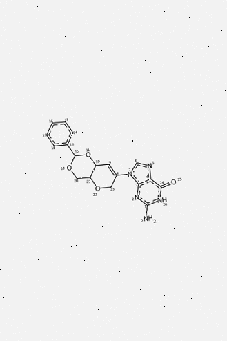 Nc1nc2c(ncn2C2=CC3OC(c4ccccc4)OCC3OC2)c(=O)[nH]1